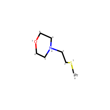 CC(C)SCCN1CCOCC1